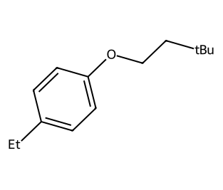 CCc1ccc(OCCC(C)(C)C)cc1